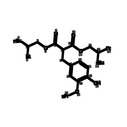 CCCCC(CC)COC(=O)C(Cc1ccc(O)c(OCCC)c1)C(=O)OCC(CC)CCCC